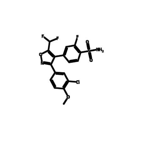 COc1ccc(-c2noc(C(F)F)c2-c2ccc(S(N)(=O)=O)c(F)c2)cc1Cl